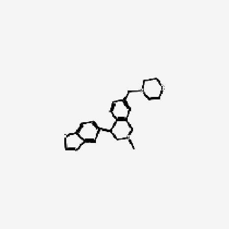 CN1Cc2cc(CN3CCOCC3)ccc2C(c2ccc3occc3c2)C1